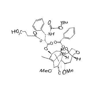 CO[C@H]1C[C@H]2OC[C@@]2(OC(C)=O)[C@H]2[C@H](OC(=O)c3ccccc3)C[C@H](OC(=O)[C@H](OC(=O)CCC(=O)O)[C@@H](NC(=O)OC(C)(C)C)c3ccccc3)/C(C)=C(\C(C)(C)O)[C@@H](OC)C(=O)[C@]12C